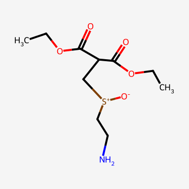 CCOC(=O)C(C[S+]([O-])CCN)C(=O)OCC